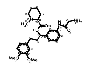 COc1ccc(CC[C@@H](OC(=O)[C@@H]2CCCCN2C)c2cccc(NC(=O)CN)c2)cc1OC